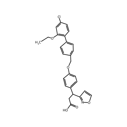 CCOc1cc(Cl)ccc1-c1ccc(COc2ccc(C(CC(=O)O)c3ccon3)cc2)cc1